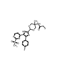 CC1(NC(=O)CF)COC(c2nc(-c3ccc(F)cc3)c(-c3ccnc(S(C)(=O)=O)n3)[nH]2)OC1